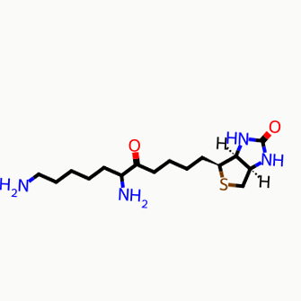 NCCCCCC(N)C(=O)CCCC[C@@H]1SC[C@@H]2NC(=O)N[C@@H]21